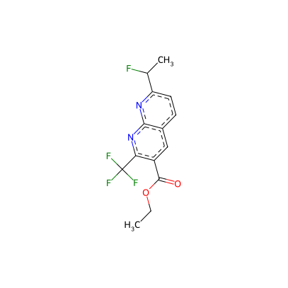 CCOC(=O)c1cc2ccc(C(C)F)nc2nc1C(F)(F)F